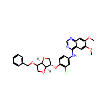 COc1cc2ncnc(Nc3ccc(O[C@H]4CO[C@@H]5C(OCc6ccccc6)CO[C@H]45)c(Cl)c3)c2cc1OC